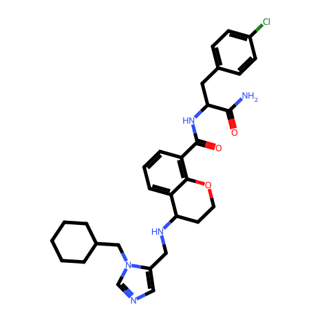 NC(=O)C(Cc1ccc(Cl)cc1)NC(=O)c1cccc2c1OCCC2NCc1cncn1CC1CCCCC1